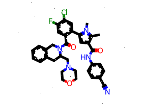 Cc1c(C(=O)Nc2ccc(C#N)cc2)cc(-c2cc(Cl)c(F)cc2C(=O)N2Cc3ccccc3CC2CN2CCOCC2)n1C